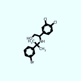 CC(C)(NC(CO)c1ccc(Cl)c(Cl)c1)c1cccc(Br)c1